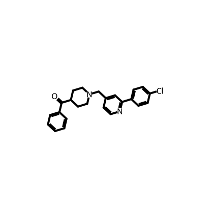 O=C(c1ccccc1)C1CCN(Cc2ccnc(-c3ccc(Cl)cc3)c2)CC1